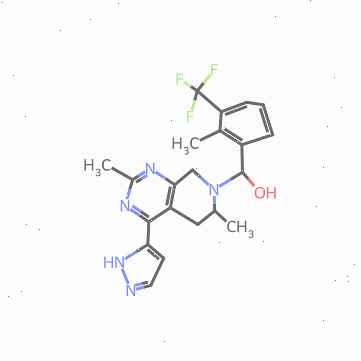 Cc1nc2c(c(-c3ccn[nH]3)n1)CC(C)N(C(O)c1cccc(C(F)(F)F)c1C)C2